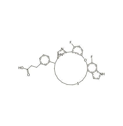 O=C(O)CCc1cccc(C2CCCCCCSCCc3c(c(F)cc4[nH]ccc34)Oc3ccc(F)c(c3)-c3ncc2[nH]3)c1